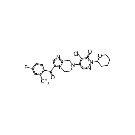 O=C(c1ccc(F)cc1C(F)(F)F)c1cnc2n1CCN(c1cnn(C3CCCCO3)c(=O)c1Cl)C2